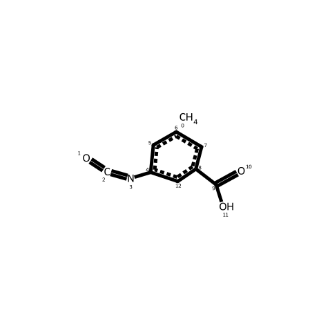 C.O=C=Nc1cccc(C(=O)O)c1